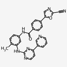 Cc1ccc(NC(=O)c2ccc(-c3cnc(C#N)o3)cc2)cc1Nc1nccc(-c2cccnc2)n1